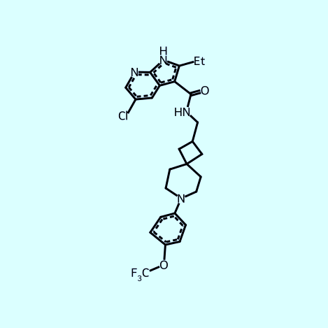 CCc1[nH]c2ncc(Cl)cc2c1C(=O)NCC1CC2(CCN(c3ccc(OC(F)(F)F)cc3)CC2)C1